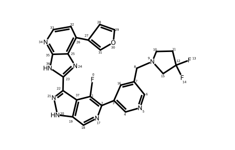 Fc1c(-c2cncc(CN3CCC(F)(F)C3)c2)ncc2[nH]nc(-c3nc4c(-c5ccoc5)ccnc4[nH]3)c12